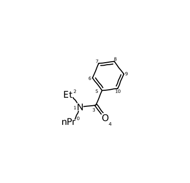 [CH2]CCN(CC)C(=O)c1ccccc1